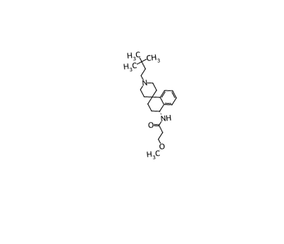 COCCC(=O)N[C@@H]1CCC2(CCN(CCC(C)(C)C)CC2)c2ccccc21